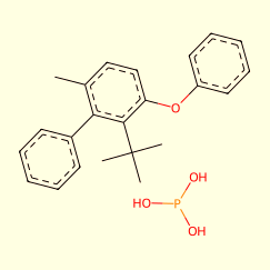 Cc1ccc(Oc2ccccc2)c(C(C)(C)C)c1-c1ccccc1.OP(O)O